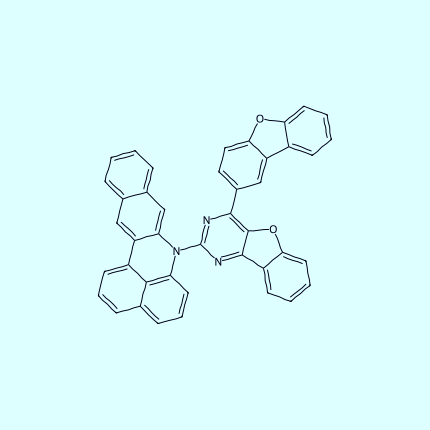 c1ccc2cc3c(cc2c1)-c1cccc2cccc(c12)N3c1nc(-c2ccc3oc4ccccc4c3c2)c2oc3ccccc3c2n1